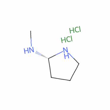 CN[C@H]1CCCN1.Cl.Cl